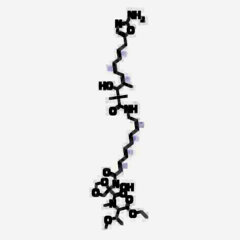 CCOC(=O)C(C(C)OC)N(C)C(=O)C1(N(O)C(=O)/C=C/C=C/C=C/C=C\CNC(=O)C(C)(C)C(O)\C(C)=C/C=C\C=C\Cc2cnc(N)o2)COCO1